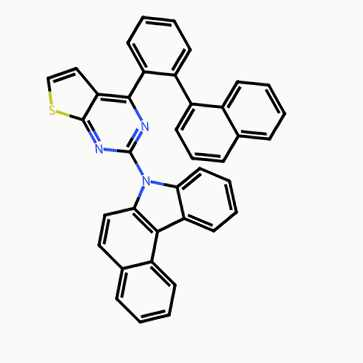 c1ccc(-c2nc(-n3c4ccccc4c4c5ccccc5ccc43)nc3sccc23)c(-c2cccc3ccccc23)c1